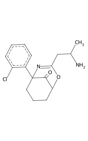 CC(N)CC1=NC2(c3ccccc3Cl)CCCC(O1)C2=O